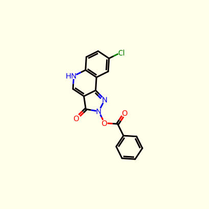 O=C(On1nc2c3cc(Cl)ccc3[nH]cc-2c1=O)c1ccccc1